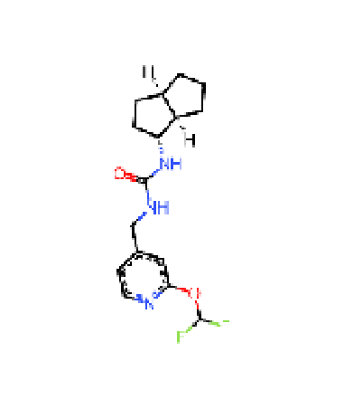 O=C(NCc1ccnc(OC(F)F)c1)N[C@@H]1CC[C@H]2CCC[C@H]21